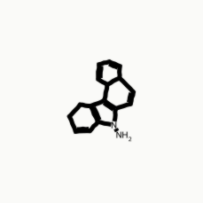 Nn1c2c(c3c1C=CC1C=CC=CC31)CCC=C2